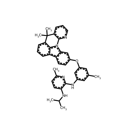 Cc1cc(Nc2nc(C)ccc2NC(C)C)cc(Oc2ccc3c4cccc5c4n(c3c2)-c2ncccc2C5(C)C)c1